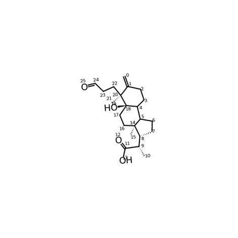 C=C1CCC2C3CC[C@H]([C@H](C)C(=O)O)[C@@]3(C)CC[C@]2(O)[C@@]1(C)CCC=O